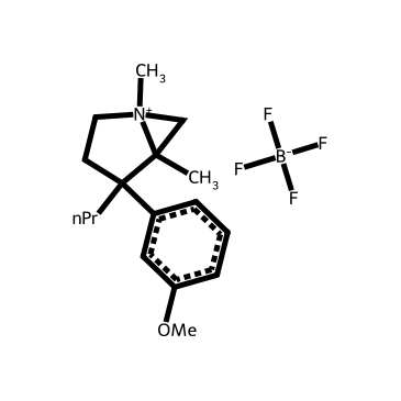 CCCC1(c2cccc(OC)c2)CC[N+]2(C)CC12C.F[B-](F)(F)F